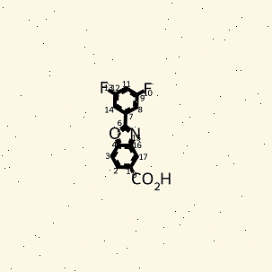 O=C(O)c1ccc2oc(-c3cc(F)cc(F)c3)nc2c1